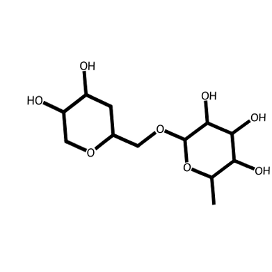 CC1OC(OCC2CC(O)C(O)CO2)C(O)C(O)C1O